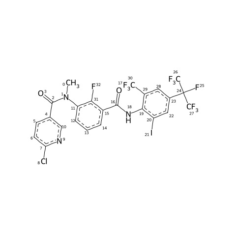 CN(C(=O)c1ccc(Cl)nc1)c1cccc(C(=O)Nc2c(I)cc(C(F)(C(F)(F)F)C(F)(F)F)cc2C(F)(F)F)c1F